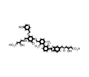 Cc1c(COc2cc(OCc3cncc(C#N)c3)c(CNC[C@@H](O)CC(=O)O)cc2Cl)cccc1-c1cccc(-c2nc3ccc(CNC[C@@H](O)CC(=O)O)cc3s2)c1C